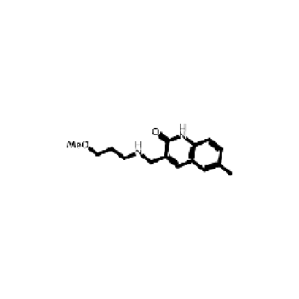 COCCCNCc1cc2cc(C)ccc2[nH]c1=O